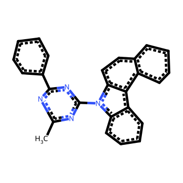 Cc1nc(-c2ccccc2)nc(-n2c3ccccc3c3c4ccccc4ccc32)n1